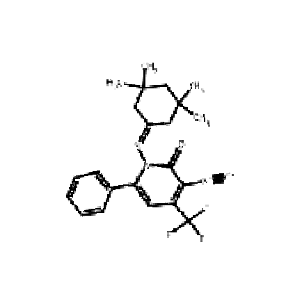 [C-]#[N+]c1c(C(F)(F)F)cc(-c2ccccc2)n(N=C2CC(C)(C)CC(C)(C)C2)c1=O